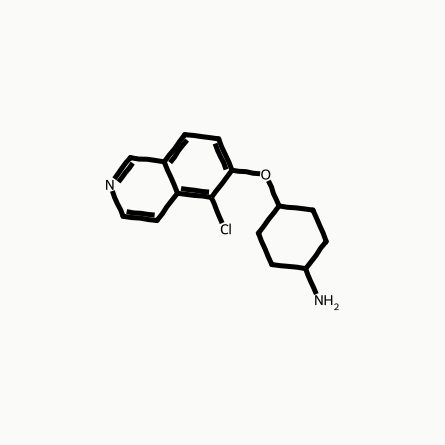 NC1CCC(Oc2ccc3cnccc3c2Cl)CC1